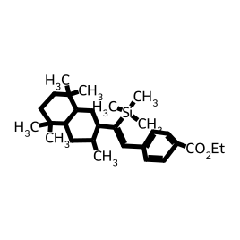 CCOC(=O)c1ccc(C=C(C2CC3C(CC2C)C(C)(C)CCC3(C)C)[Si](C)(C)C)cc1